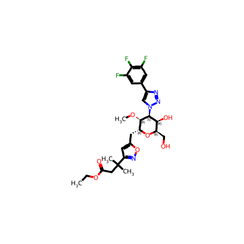 CCOC(=O)CC(C)(C)c1cc(C[C@H]2O[C@H](CO)[C@H](O)[C@H](n3cc(-c4cc(F)c(F)c(F)c4)nn3)[C@H]2OC)on1